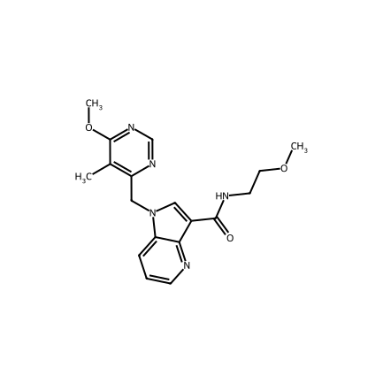 COCCNC(=O)c1cn(Cc2ncnc(OC)c2C)c2cccnc12